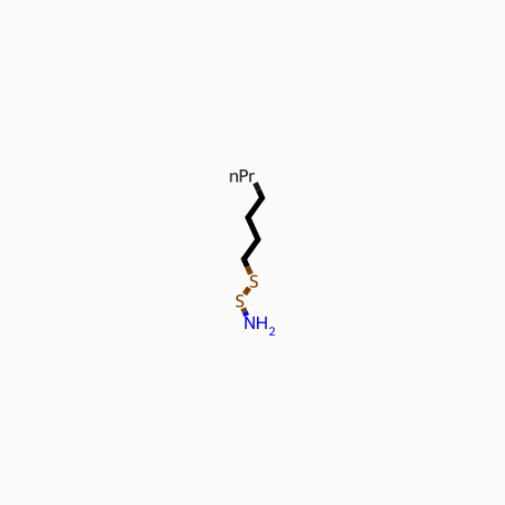 CCCCCCCSSN